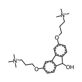 C[N+](C)(C)CCCOc1ccc2c(c1)-c1cc(OCCC[N+](C)(C)C)ccc1C2O